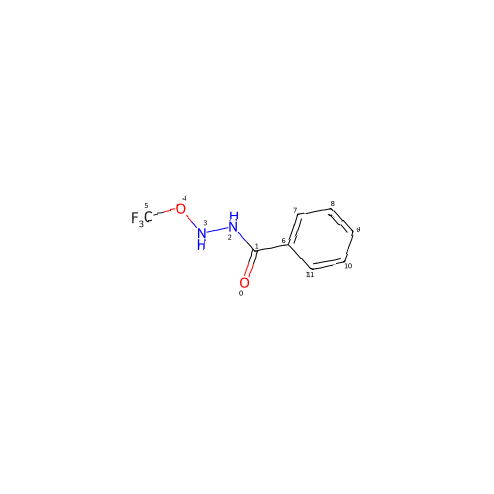 O=C(NNOC(F)(F)F)c1ccccc1